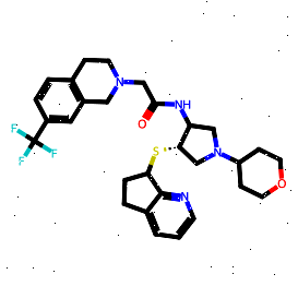 O=C(CN1CCc2ccc(C(F)(F)F)cc2C1)NC1CN(C2CCOCC2)C[C@@H]1SC1CCc2cccnc21